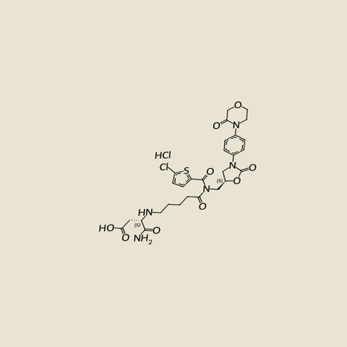 Cl.NC(=O)[C@H](CC(=O)O)NCCCCC(=O)N(C[C@H]1CN(c2ccc(N3CCOCC3=O)cc2)C(=O)O1)C(=O)c1ccc(Cl)s1